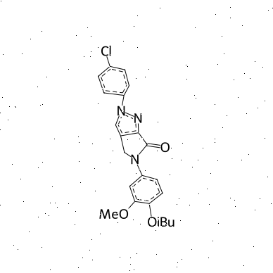 COc1cc(N2Cc3cn(-c4ccc(Cl)cc4)nc3C2=O)ccc1OCC(C)C